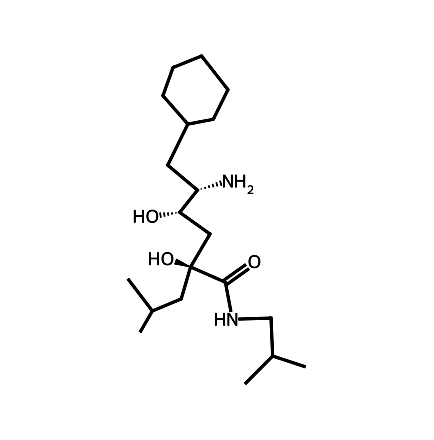 CC(C)CNC(=O)[C@](O)(CC(C)C)C[C@H](O)[C@@H](N)CC1CCCCC1